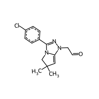 CC1(C)C=C2N(CC=O)N=C(c3ccc(Cl)cc3)N2C1